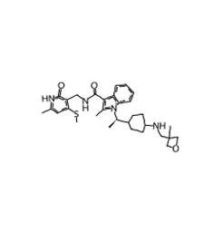 CSc1cc(C)[nH]c(=O)c1CNC(=O)c1c(C)n([C@H](C)C2CCC(NCC3(C)COC3)CC2)c2ccccc12